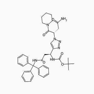 CC(C)(C)OC(=O)N[C@@H](CC(=O)NC(c1ccccc1)(c1ccccc1)c1ccccc1)c1cn([C@@H](CC(N)=O)C(=O)N2CCCCC2)nn1